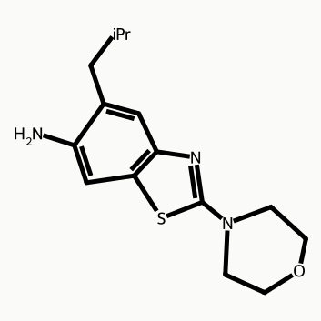 CC(C)Cc1cc2nc(N3CCOCC3)sc2cc1N